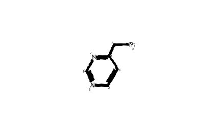 CC(C)Cc1ccncn1